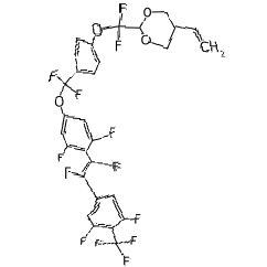 C=CC1COC(C(F)(F)Oc2ccc(C(F)(F)Oc3cc(F)c(/C(F)=C(\F)c4cc(F)c(C(F)(F)F)c(F)c4)c(F)c3)cc2)OC1